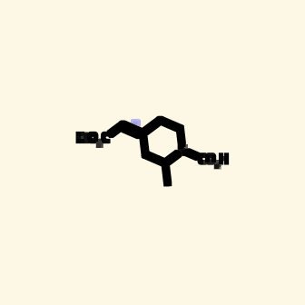 CCOC(=O)/C=C1/CCN(C(=O)O)C(C)C1